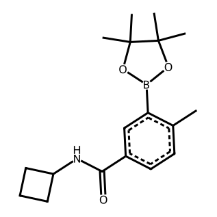 Cc1ccc(C(=O)NC2CCC2)cc1B1OC(C)(C)C(C)(C)O1